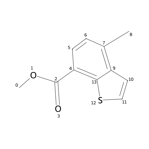 COC(=O)c1ccc(C)c2ccsc12